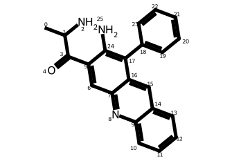 CC(N)C(=O)c1cc2nc3ccccc3cc2c(-c2ccccc2)c1N